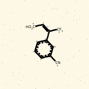 N#Cc1cccc(/C(=C\C(=O)O)C(F)(F)F)c1